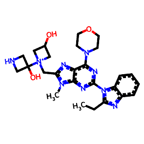 CCc1nc2ccccc2n1-c1nc(N2CCOCC2)c2nc(C[N+]3(C4(O)CNC4)CC(O)C3)n(C)c2n1